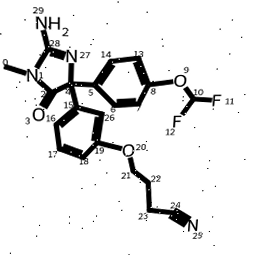 CN1C(=O)C(c2ccc(OC(F)F)cc2)(c2cccc(OCCCC#N)c2)N=C1N